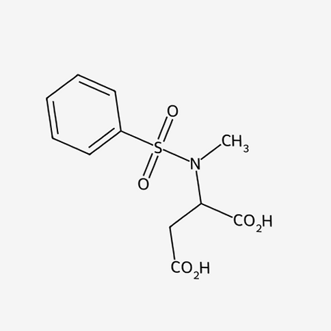 CN(C(CC(=O)O)C(=O)O)S(=O)(=O)c1ccccc1